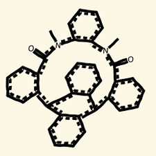 Cn1c(=O)c2ccccc2c2c3ccccc3c(c3ccccc3c(=O)n(C)c3ccccc31)c1ccccc12